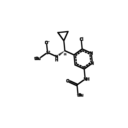 CC(C)(C)C(=O)Nc1cc([C@H](N[S+]([O-])C(C)(C)C)C2CC2)c(Cl)nn1